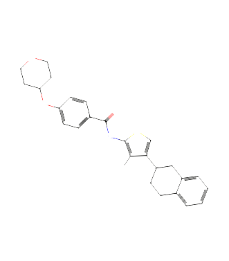 O=C(Nc1scc(C2CCc3ccccc3C2)c1C(=O)O)c1ccc(OC2CCOCC2)cc1